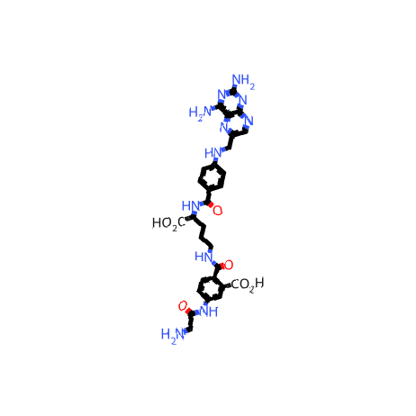 NCC(=O)Nc1ccc(C(=O)NCCCC(NC(=O)c2ccc(NCc3cnc4nc(N)nc(N)c4n3)cc2)C(=O)O)c(C(=O)O)c1